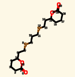 O=C1CCCC(CCSCCCSCCC2CCCC(=O)O2)O1